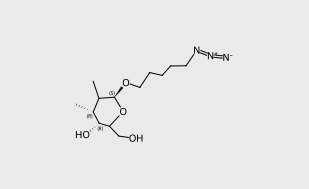 CC1[C@@H](OCCCCCN=[N+]=[N-])OC(CO)[C@H](O)[C@@H]1C